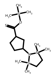 C[Si](C)(C)OC(=S)C1CCC(N2[Si](C)(C)CC[Si]2(C)C)C1